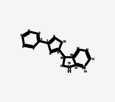 C1=C(c2ccccc2)C=C(C2CNc3ncccc32)C1